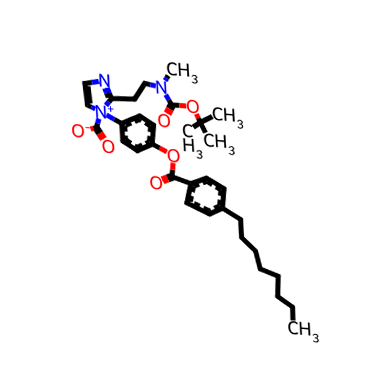 CCCCCCCCc1ccc(C(=O)Oc2ccc([N+]3(C(=O)[O-])C=CN=C3CCN(C)C(=O)OC(C)(C)C)cc2)cc1